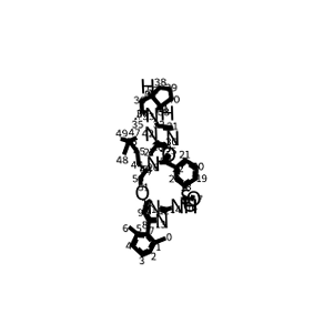 Cc1cccc(C)c1-c1cc2nc(n1)NS(=O)(=O)c1cccc(c1)C(=O)N(Cc1cncc(N3[C@H](C)C[C@@H]4CCC[C@@H]43)n1)[C@H](CCC(C)(C)C)CO2